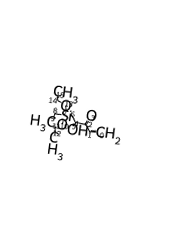 C=CC(=O)C(O)C[Si](CC)(OCC)OCC